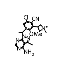 COc1c(C(C)n2nc(C)c3c(N)ncnc32)cc(Cl)c(C#N)c1C1C[N+](C)(C)C1